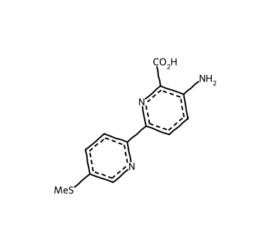 CSc1ccc(-c2ccc(N)c(C(=O)O)n2)nc1